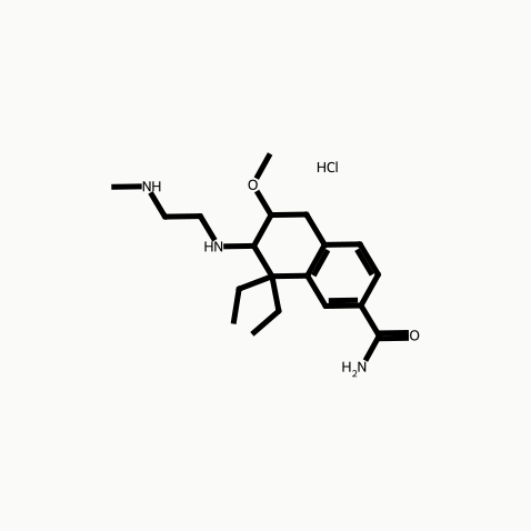 CCC1(CC)c2cc(C(N)=O)ccc2CC(OC)C1NCCNC.Cl